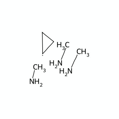 CN.CN.CN.[CH]1CC1